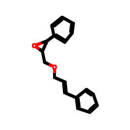 C(=Cc1ccccc1)COCC1OC1c1ccccc1